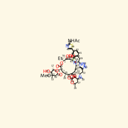 CC[C@H]1OC(=O)[C@H](C)[C@@H](O[C@H]2C[C@@](C)(OC)[C@@H](O)[C@H](C)O2)[C@H](C)[C@@H](O[C@@H]2O[C@H](C)C[C@H](N(C)CCc3cn([C@H](CF)Cc4ccc(-c5cnc(NC(C)=O)s5)cc4)nn3)C2=O)[C@](C)(O)C[C@@H](C)CN(C)[C@H](C)[C@@H](O)[C@]1(C)O